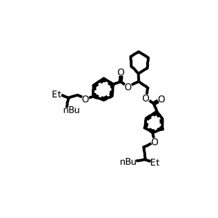 CCCCC(CC)COc1ccc(C(=O)OCC(OC(=O)c2ccc(OCC(CC)CCCC)cc2)C2CCCCC2)cc1